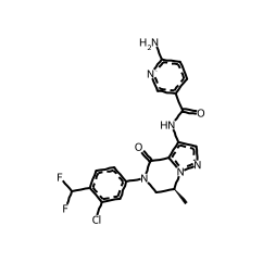 C[C@H]1CN(c2ccc(C(F)F)c(Cl)c2)C(=O)c2c(NC(=O)c3ccc(N)nc3)cnn21